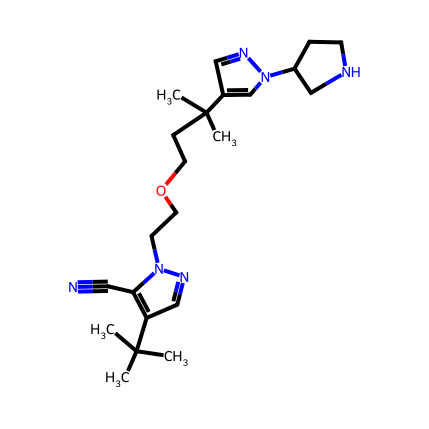 CC(C)(C)c1cnn(CCOCCC(C)(C)c2cnn(C3CCNC3)c2)c1C#N